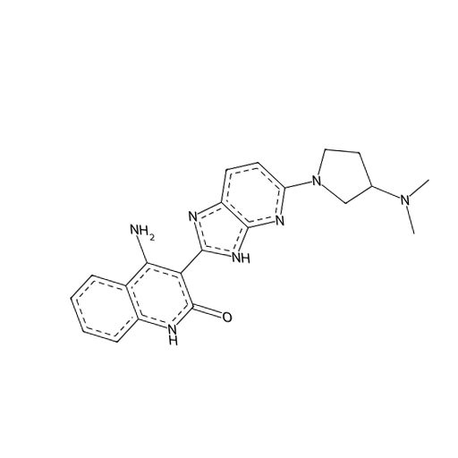 CN(C)C1CCN(c2ccc3nc(-c4c(N)c5ccccc5[nH]c4=O)[nH]c3n2)C1